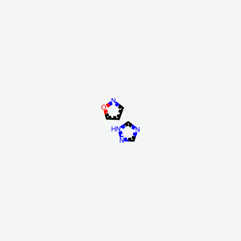 c1cnoc1.c1nc[nH]n1